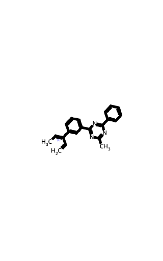 C=C/C(=C\C)c1cccc(-c2nc(C)nc(-c3ccccc3)n2)c1